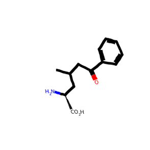 CC(CC(=O)c1ccccc1)C[C@H](N)C(=O)O